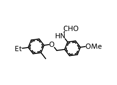 CCc1ccc(OCc2ccc(OC)cc2NC=O)c(C)c1